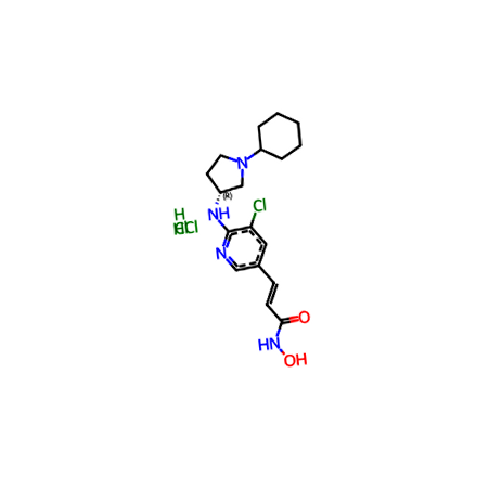 Cl.Cl.O=C(C=Cc1cnc(N[C@@H]2CCN(C3CCCCC3)C2)c(Cl)c1)NO